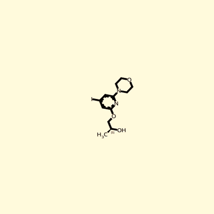 C[C@H](O)COc1cc(I)cc(N2CCOCC2)n1